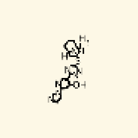 C[C@]12CCC[C@H](C[C@@H](Sc3cnc(-c4cnc(-n5ccnc5)cc4O)nn3)C1)N2